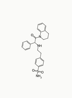 NS(=O)(=O)c1ccc(CCNC(C(=O)N2CCCc3ccccc32)c2ccccc2)cc1